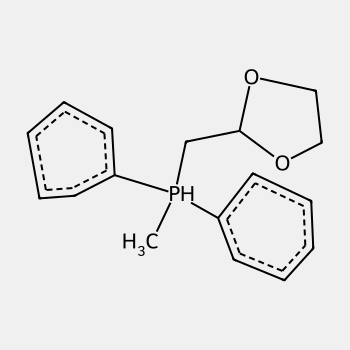 C[PH](CC1OCCO1)(c1ccccc1)c1ccccc1